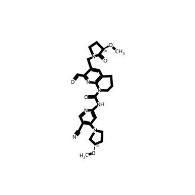 CO[C@H]1CCN(c2cc(NC(=O)N3CCCc4cc(CN5CC[C@@H](OC)C5=O)c(C=O)nc43)ncc2C#N)C1